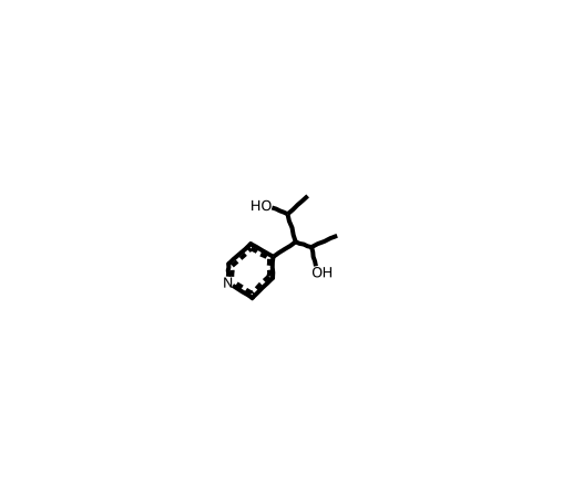 CC(O)C(c1ccncc1)C(C)O